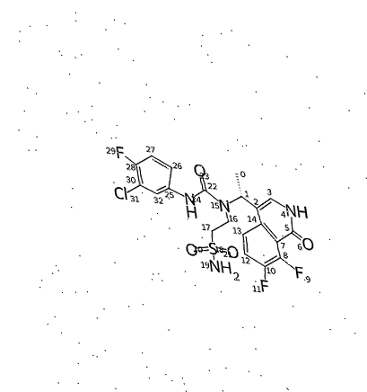 C[C@H](c1c[nH]c(=O)c2c(F)c(F)ccc12)N(CCS(N)(=O)=O)C(=O)Nc1ccc(F)c(Cl)c1